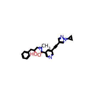 CN(CC(O)Cc1ccccc1)C(=O)c1cncc(C#Cc2cnn(C3CC3)c2)c1